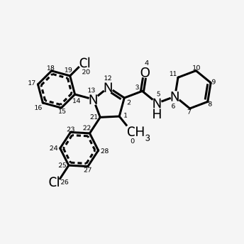 CC1C(C(=O)NN2CC=CCC2)=NN(c2ccccc2Cl)C1c1ccc(Cl)cc1